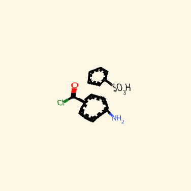 Nc1ccc(C(=O)Cl)cc1.O=S(=O)(O)c1ccccc1